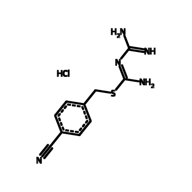 Cl.N#Cc1ccc(CSC(N)=NC(=N)N)cc1